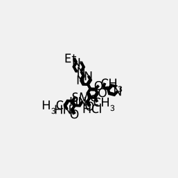 CCN1CCN(c2ncc(-c3cc(C(=O)NCc4c(SC)cc(C)[nH]c4=O)c(C)c4c3OC(C)(c3ccncc3)O4)cn2)CC1.Cl